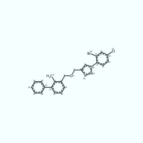 Cc1c(COCc2cn(-c3ccc(Cl)cc3Br)nn2)cccc1-c1ccccc1